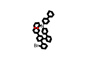 Brc1ccccc1-c1ccc(-c2ccccc2)cc1-c1ccccc1-c1ccc(N(c2ccccc2)c2ccc(-c3ccccc3)cc2)cc1